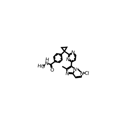 CC1=C(c2ccnc(C3(c4ccc(C(=O)NO)cc4)CC3)n2)[N+]2CN(Cl)C=CC2=N1